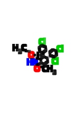 CCCOC[C@H]1NC(=O)[C@]2(CC)C=C[C@@H](c3ccc(Cl)cc3Cl)[C@H](c3ccc(Cl)cc3)[C@H]12